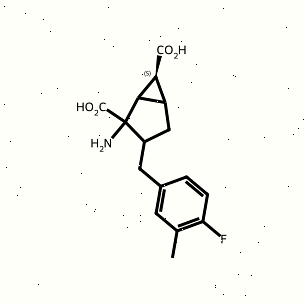 Cc1cc(CC2CC3C([C@H]3C(=O)O)C2(N)C(=O)O)ccc1F